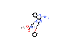 CC(C)(C)OC(=O)NCCCn1c(CCCOc2ccccc2)nc2c(N)nc3ccccc3c21